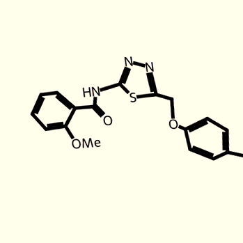 COc1ccccc1C(=O)Nc1nnc(COc2ccc(C)cc2)s1